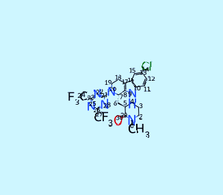 CN1CCC[C@H](C[C@H]2c3[nH]c4ccc(Cl)cc4c3CCN2c2nc(C(F)(F)F)nc(C(F)(F)F)n2)C1=O